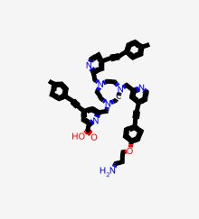 Cc1ccc(C#Cc2ccnc(CN3CCN(Cc4cc(C#Cc5ccc(OCCCN)cc5)ccn4)CCN(Cc4cc(C#Cc5ccc(C)cc5)cc(C(=O)O)n4)CC3)c2)cc1